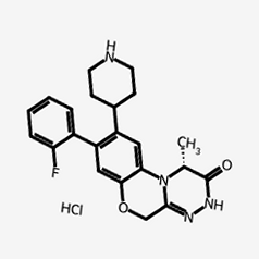 C[C@@H]1C(=O)NN=C2COc3cc(-c4ccccc4F)c(C4CCNCC4)cc3N21.Cl